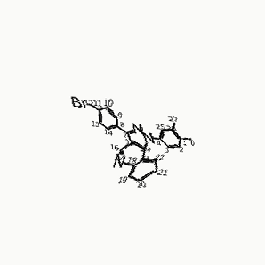 Cc1ccc(-n2nc(-c3ccc(Br)cc3)c3cnc4ccccc4c32)cc1C